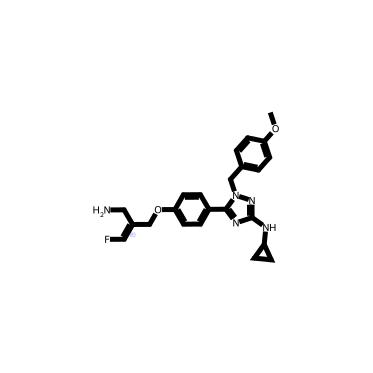 COc1ccc(Cn2nc(NC3CC3)nc2-c2ccc(OC/C(=C/F)CN)cc2)cc1